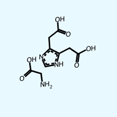 NCC(=O)O.O=C(O)Cc1nc[nH]c1CC(=O)O